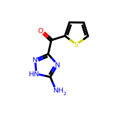 Nc1nc(C(=O)c2cccs2)n[nH]1